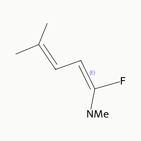 CN/C(F)=C\C=C(C)C